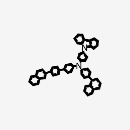 c1ccc2cc(-c3ccc(-c4ccc(N(c5ccc(-c6cccc7ccccc67)cc5)c5ccc(-n6c7ccccc7c7ccccc76)cc5)cc4)cc3)ccc2c1